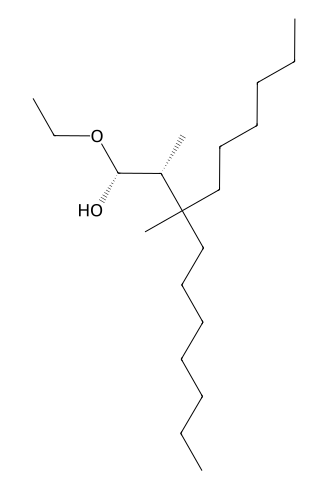 CCCCCCCC(C)(CCCCCC)[C@@H](C)[C@H](O)OCC